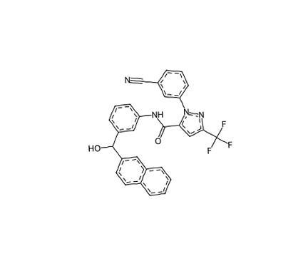 N#Cc1cccc(-n2nc(C(F)(F)F)cc2C(=O)Nc2cccc(C(O)c3ccc4ccccc4c3)c2)c1